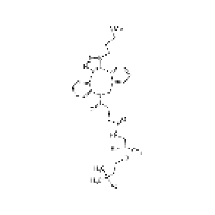 CCC(C)(CNC(=O)CCC(=O)N1Cc2ccccc2-c2c(nnn2CCCNC)-c2ccccc21)OCCC(C)(C)C(C)=O